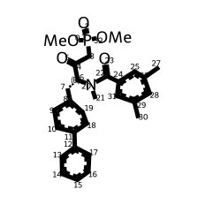 COP(=O)(CC(=O)[C@@H](Cc1ccc(-c2ccccc2)cc1)N(C)C(=O)c1cc(C)cc(C)c1)OC